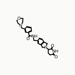 O=C1CCC(N2Cc3ccc(CNC(=O)c4cccc(CN5CCOCC5)c4)cc3C2)C(=O)N1